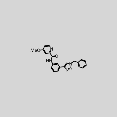 COc1ccnc(C(=O)Nc2cccc(-c3cn(Cc4ccccc4)nn3)c2)c1